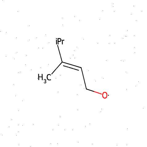 CC(=CC[O])C(C)C